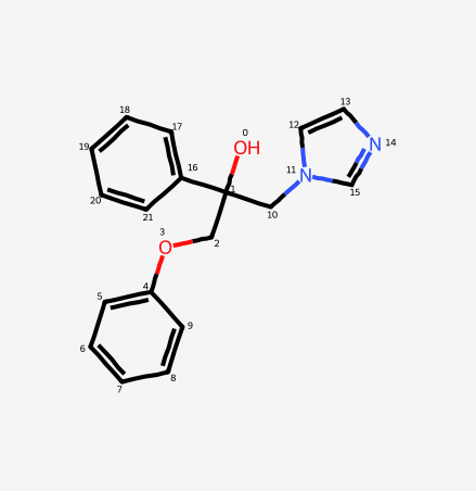 OC(COc1ccccc1)(Cn1ccnc1)c1ccccc1